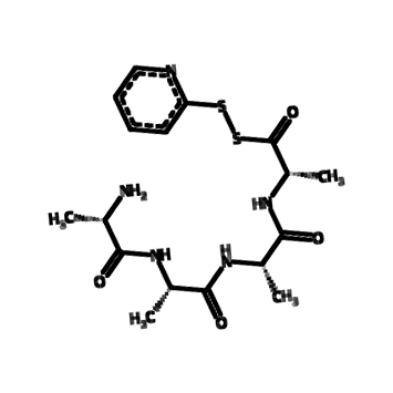 C[C@H](N)C(=O)N[C@@H](C)C(=O)N[C@@H](C)C(=O)N[C@@H](C)C(=O)SSc1ccccn1